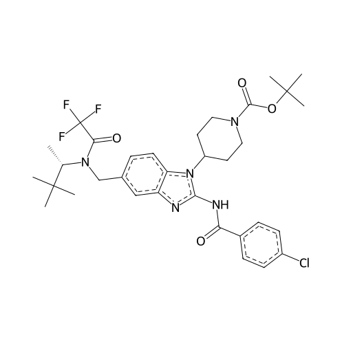 C[C@H](N(Cc1ccc2c(c1)nc(NC(=O)c1ccc(Cl)cc1)n2C1CCN(C(=O)OC(C)(C)C)CC1)C(=O)C(F)(F)F)C(C)(C)C